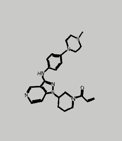 C=CC(=O)N1CCCC(n2nc(Nc3ccc(N4CCN(C)CC4)cc3)c3cnccc32)C1